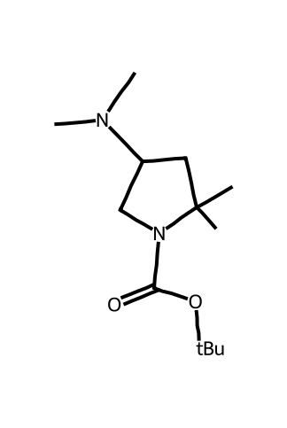 CN(C)C1CN(C(=O)OC(C)(C)C)C(C)(C)C1